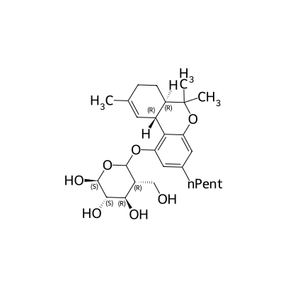 CCCCCc1cc(OC2O[C@H](O)[C@@H](O)[C@H](O)[C@H]2CO)c2c(c1)OC(C)(C)[C@@H]1CCC(C)=C[C@@H]21